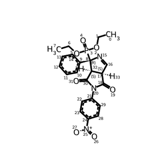 CCOP(=O)(OCC)[C@]1(c2ccccc2)N=C[C@H]2C(=O)N(c3ccc([N+](=O)[O-])cc3)C(=O)[C@H]21